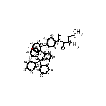 CCCC(C)C(=O)Nc1ccc(-c2ccccc2-c2nnnn2C(c2ccccc2)(c2ccccc2)c2ccccc2)cc1